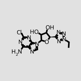 CCn1nnc([C@H]2OC(n3cnc4c(N)nc(Cl)nc43)C(O)C2O)n1